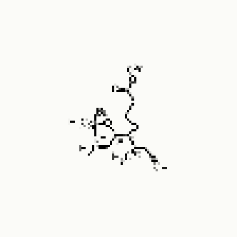 C#CC[C@@H](C)[C@H](OCCC(=O)OCCC)[C@@H](C=C)O[Si](C)(C)C(C)(C)C